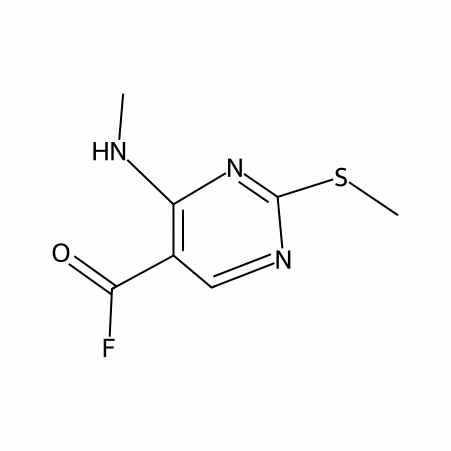 CNc1nc(SC)ncc1C(=O)F